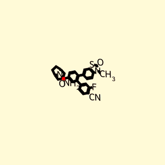 Cn1c(=O)sc2cc(-c3ccc(C(=O)N4C5CCC4CC(N)C5)cc3-c3ccc(C#N)c(F)c3)ccc21